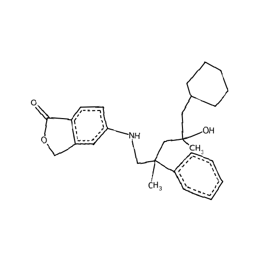 CC(O)(CC1CCCCC1)CC(C)(CNc1ccc2c(c1)COC2=O)c1ccccc1